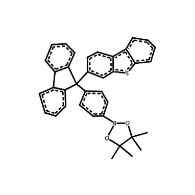 CC1(C)OB(c2ccc(C3(c4ccc5c(c4)sc4ccccc45)c4ccccc4-c4ccccc43)cc2)OC1(C)C